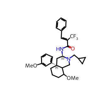 COc1cccc([C@@]23CCCC(OC)C2CN(CC2CC2)[C@H](NC(=O)C(=Cc2ccccc2)C(F)(F)F)C3)c1